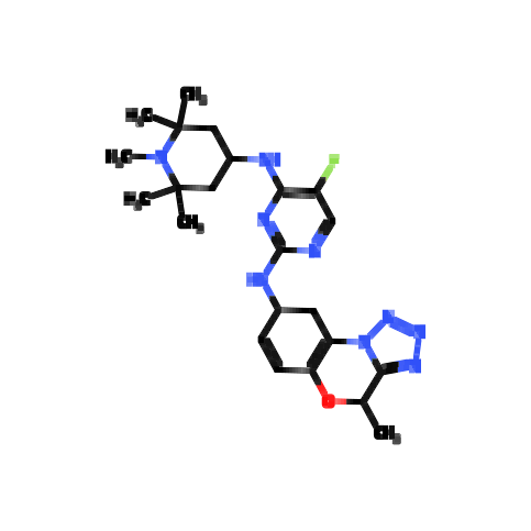 CC1OC2=C(CC(Nc3ncc(F)c(NC4CC(C)(C)N(C)C(C)(C)C4)n3)C=C2)n2nnnc21